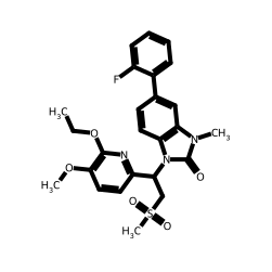 CCOc1nc(C(CS(C)(=O)=O)n2c(=O)n(C)c3cc(-c4ccccc4F)ccc32)ccc1OC